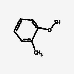 Cc1ccccc1OS